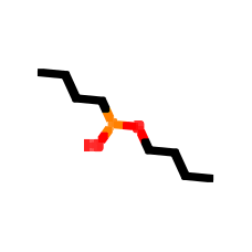 CCCCOP(O)CCCC